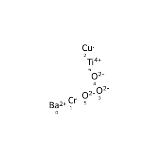 [Ba+2].[Cr].[Cu].[O-2].[O-2].[O-2].[Ti+4]